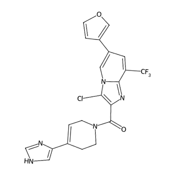 O=C(c1nc2c(C(F)(F)F)cc(-c3ccoc3)cn2c1Cl)N1CC=C(c2c[nH]cn2)CC1